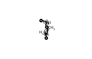 CCOC(Cc1ccc(OC(=O)Cc2nc(-c3ccccc3)oc2C)c(C)c1)C(=O)OCc1ccccc1